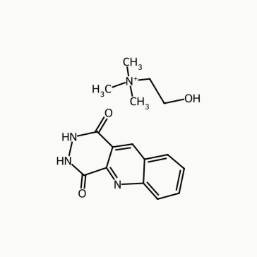 C[N+](C)(C)CCO.O=c1[nH][nH]c(=O)c2nc3ccccc3cc12